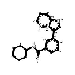 O=C(NC1CCCCC1)c1cccc(-c2cnc3cccnn23)c1